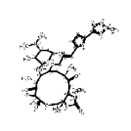 CC[C@H]1OC(=O)[C@@](C)(F)C(=O)[C@H](C)[C@@H](O[C@@H]2O[C@H](C)C[C@H](N(C)C)[C@H]2O)[C@@](C)(OC/C=C/c2ccc(-c3nnn(C)n3)s2)C[C@@H](C)C(=O)[C@H](C)[C@H]2NC(=O)O[C@@]21C